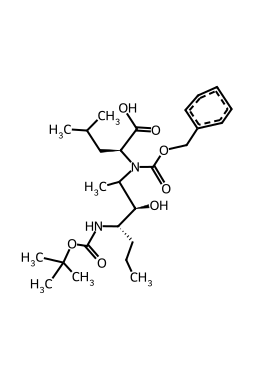 CCC[C@H](NC(=O)OC(C)(C)C)[C@H](O)C(C)N(C(=O)OCc1ccccc1)[C@@H](CC(C)C)C(=O)O